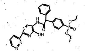 CCOP(=O)(OCC)c1ccc(C(C(=O)Nc2cnc(-c3cccnn3)nc2O)c2ccccc2)cc1